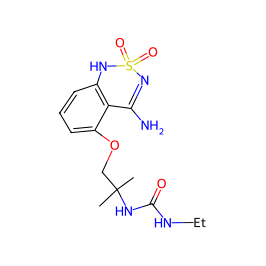 CCNC(=O)NC(C)(C)COc1cccc2c1C(N)=NS(=O)(=O)N2